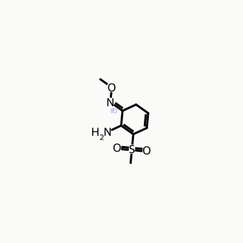 CO/N=C1\CC=CC(S(C)(=O)=O)=C1N